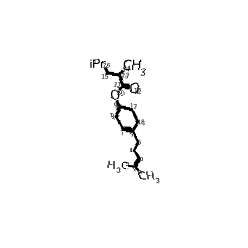 CC(C)=CCCC1=CCC(OC(=O)C(C)CC(C)C)CC1